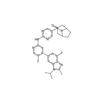 Cc1nc2c(F)cc(-c3cc(Nc4ncc(CN5C6CCC5CC(=O)C6)cn4)ncc3F)cc2n1C(C)C